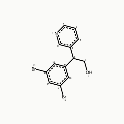 OCC(c1cccnc1)c1cc(Br)cc(Br)c1